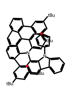 CC(C)(C)c1cc(-c2ccccc2N(c2ccccc2-c2cccc3cccc(-c4cc(C(C)(C)C)cc(C(C)(C)C)c4)c23)c2cccc3c4ccccc4n(-c4ccccc4)c23)cc(C(C)(C)C)c1